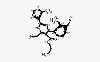 CCOC(=O)C1=C(CBr)NC(c2ncoc2C)=NC1c1cccc(F)c1C